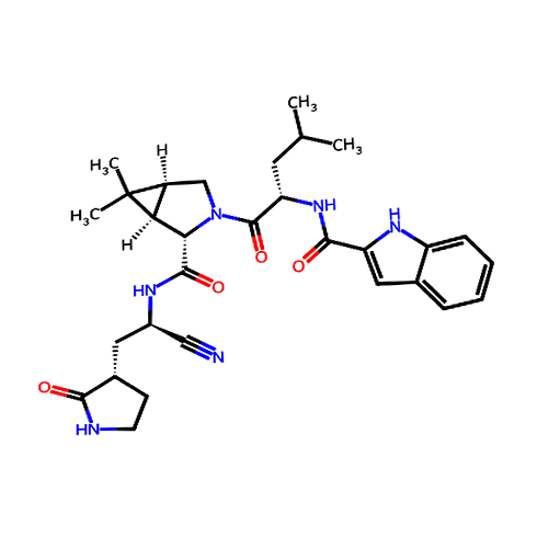 CC(C)C[C@H](NC(=O)c1cc2ccccc2[nH]1)C(=O)N1C[C@H]2[C@@H]([C@H]1C(=O)N[C@@H](C#N)C[C@@H]1CCNC1=O)C2(C)C